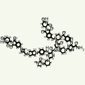 CN1CCN([C@@H]2CCCN(c3cnc(C(=O)NC4CN(C)C(=O)N4[C@H]4CCCN(c5cnc(C(N)=O)c(Nc6ccc(C(=O)N7CCN(Cc8ccc9c(c8)C(=O)N(C8CCC(=O)NC8=O)C9=O)CC7)cc6)n5)C4)c(Nc4ccc(N5CC6CN(CC7CN(c8ccc9c(c8)C(=O)N(C8CCC(=O)NC8=O)C9=O)C7)CC6C5)cc4)n3)C2)C1=O